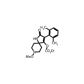 CCOC(=O)OC1=C(c2c(C)cccc2C)C(=O)NC12CCN(OC)CC2